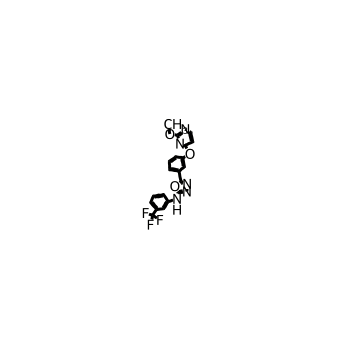 COc1nccc(Oc2cccc(-c3nnc(Nc4cccc(C(F)(F)F)c4)o3)c2)n1